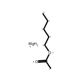 CCCCCOC(C)=O.[MgH2]